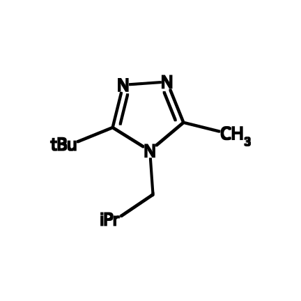 Cc1nnc(C(C)(C)C)n1CC(C)C